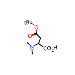 CN(C)C(CC(=O)OC(C)(C)C)C(=O)O